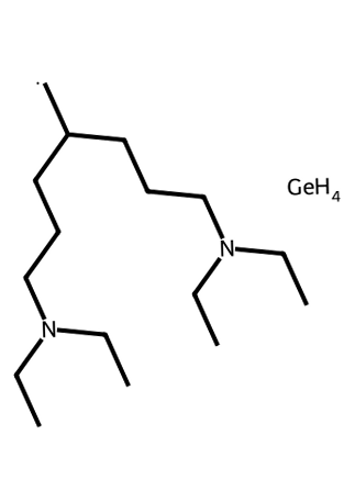 [CH2]C(CCCN(CC)CC)CCCN(CC)CC.[GeH4]